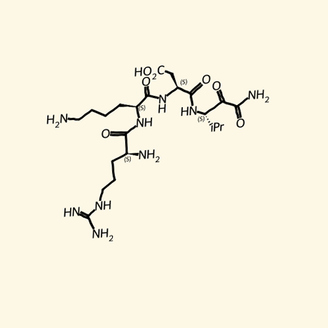 CC(C)[C@H](NC(=O)[C@H](CC(=O)O)NC(=O)[C@H](CCCCN)NC(=O)[C@@H](N)CCCNC(=N)N)C(=O)C(N)=O